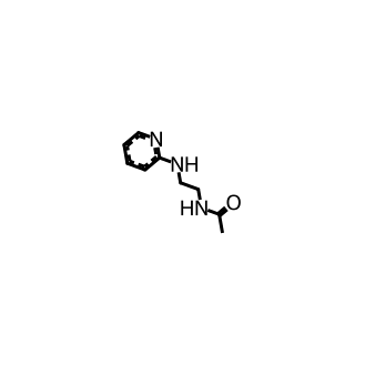 CC(=O)NCCNc1ccccn1